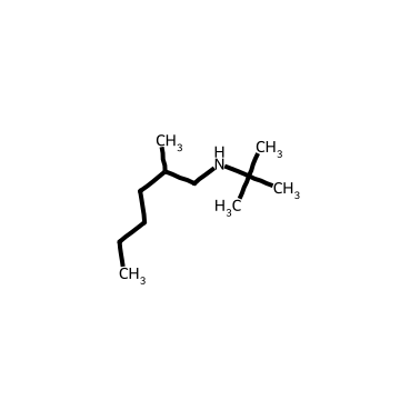 CCCCC(C)CNC(C)(C)C